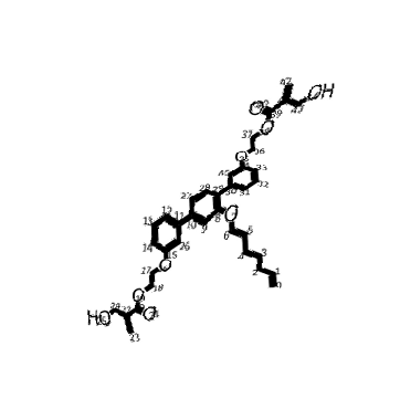 C=CCCCCCOc1cc(-c2cccc(OCCOC(=O)C(=C)CO)c2)ccc1-c1cccc(OCCOC(=O)C(=C)CO)c1